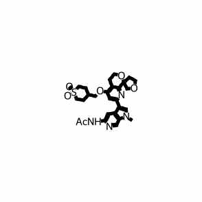 CC(=O)Nc1cc2c(-c3cc(OCC4CCS(=O)(=O)CC4)c4c(n3)C3(CCOC3)OCC4)cn(C)c2cn1